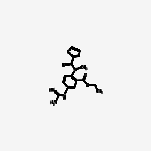 CCOC(=O)c1cc(NC(=N)N)ccc1N(C)C(=O)c1cccs1